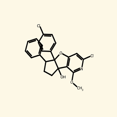 COc1nc(Cl)cc2c1C1(O)CCC(c3ccccc3)C1(c1ccc(Cl)cc1)O2